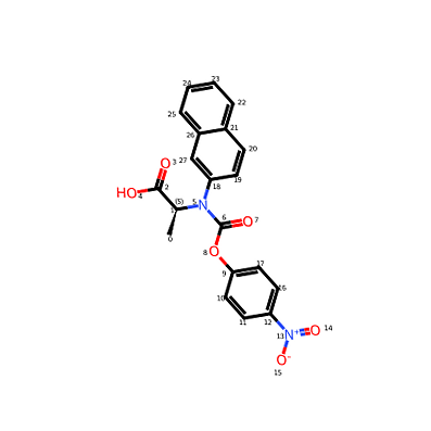 C[C@@H](C(=O)O)N(C(=O)Oc1ccc([N+](=O)[O-])cc1)c1ccc2ccccc2c1